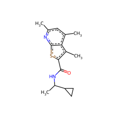 Cc1cc(C)c2c(C)c(C(=O)NC(C)C3CC3)sc2n1